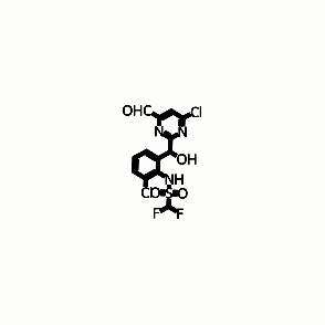 O=Cc1cc(Cl)nc(C(O)c2cccc(Cl)c2NS(=O)(=O)C(F)F)n1